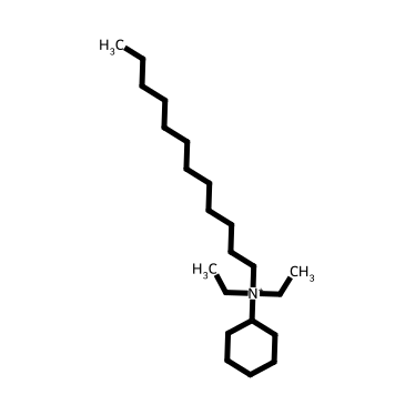 CCCCCCCCCCCC[N+](CC)(CC)C1CCCCC1